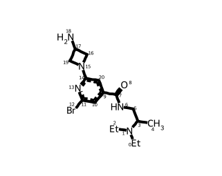 CCN(CC)C(C)CNC(=O)c1cc(Br)nc(N2CC(N)C2)c1